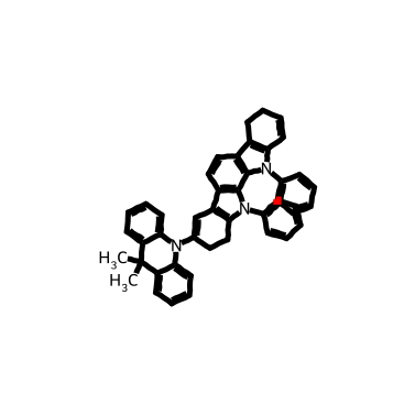 CC1(C)c2ccccc2N(C2=Cc3c(n(-c4ccccc4)c4c3ccc3c5c(n(-c6ccccc6)c34)C=CCC5)CC2)c2ccccc21